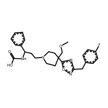 COCC1(c2nc(Cc3ccc(F)cc3)no2)CCN(CCC(NC(=O)O)c2ccccc2)CC1